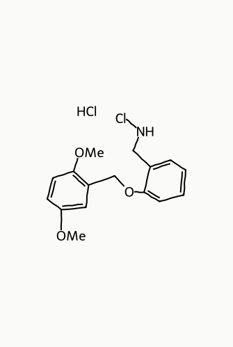 COc1ccc(OC)c(COc2ccccc2CNCl)c1.Cl